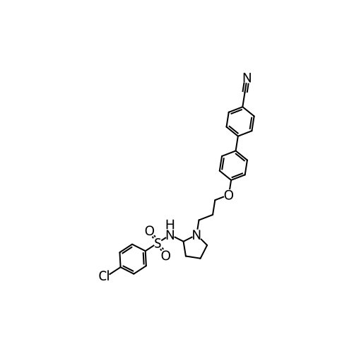 N#Cc1ccc(-c2ccc(OCCCN3CCCC3NS(=O)(=O)c3ccc(Cl)cc3)cc2)cc1